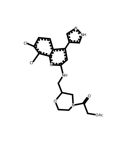 CC(=O)OCC(=O)N1CCOC(CNc2cc(-c3cn[nH]c3)c3ccc(Cl)c(Cl)c3n2)C1